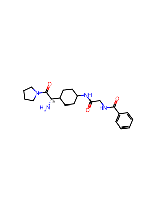 N[C@H](C(=O)N1CCCC1)C1CCC(NC(=O)CNC(=O)c2ccccc2)CC1